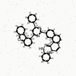 N=C1C=Cc2ccc3ccc(-c4nc(-c5ccccc5)cc(-c5cccc6oc7ccccc7c56)n4)cc3c2/C1=N/Nc1ccccc1